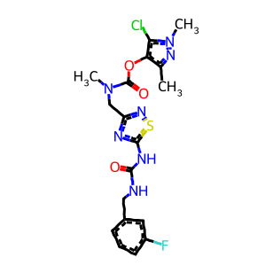 Cc1nn(C)c(Cl)c1OC(=O)N(C)Cc1nsc(NC(=O)NCc2cccc(F)c2)n1